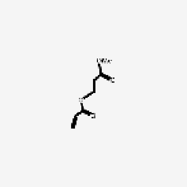 C=CC(=O)OCCC(=O)OC